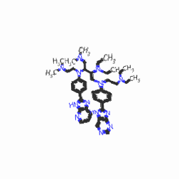 CCN(CC)CCN(CC(C(CN(C)C)N(CCN(C)C)c1ccc(-c2nc3cccnc3[nH]2)cc1)N(CC)CC)c1ccc(-c2nc3ncncc3[nH]2)cc1